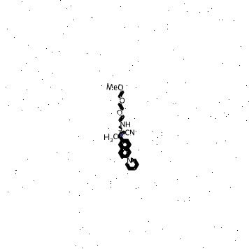 COCCOCCOCCNS/C(C#N)=C(\C)c1ccc2cc(N3CCCCC3)ccc2c1